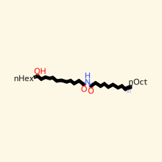 CCCCCCCC/C=C\CCCCCCCC(=O)NC(=O)CCCCCCCCCCC(O)CCCCCC